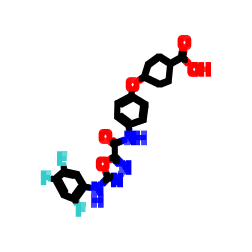 O=C(Nc1ccc(OC2CCC(C(=O)O)CC2)cc1)c1nnc(Nc2cc(F)c(F)cc2F)o1